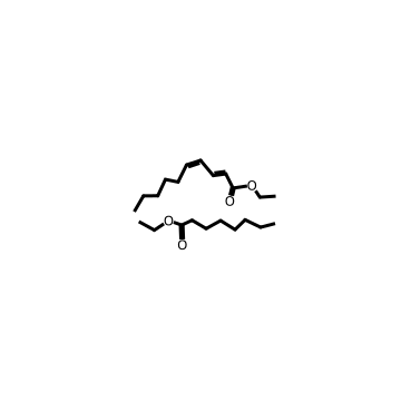 CCCCC/C=C\C=C\C(=O)OCC.CCCCCCCC(=O)OCC